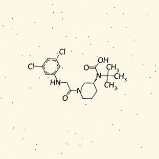 CC(C)(C)N(C(=O)O)[C@H]1CCCN(C(=O)CNc2cc(Cl)cc(Cl)c2)C1